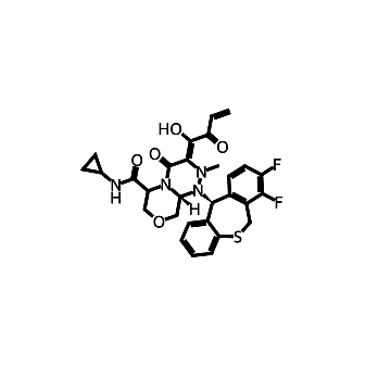 C=CC(=O)/C(O)=C1/C(=O)N2C(C(=O)NC3CC3)COC[C@H]2N([C@@H]2c3ccccc3SCc3c2ccc(F)c3F)N1C